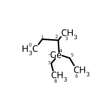 CC[CH](C)[Ge]([CH2]C)[CH2]C